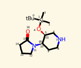 CC(C)(C)[Si](C)(C)O[C@H]1CNCC[C@H]1N1CCCC1=O